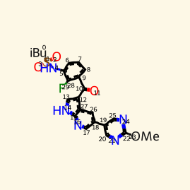 CCC(C)S(=O)(=O)Nc1cccc(C(=O)c2c[nH]c3ncc(-c4cnc(OC)nc4)cc23)c1F